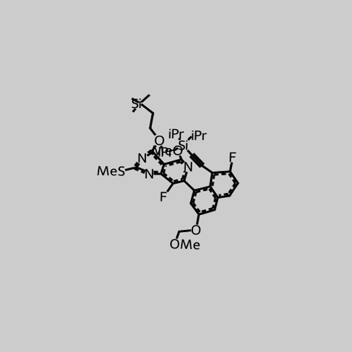 COCOc1cc(-c2nc(OC)c3c(OCC[Si](C)(C)C)nc(SC)nc3c2F)c2c(C#C[Si](C(C)C)(C(C)C)C(C)C)c(F)ccc2c1